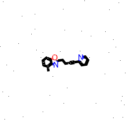 Cc1cccc2oc(CCC#Cc3ccccn3)nc12